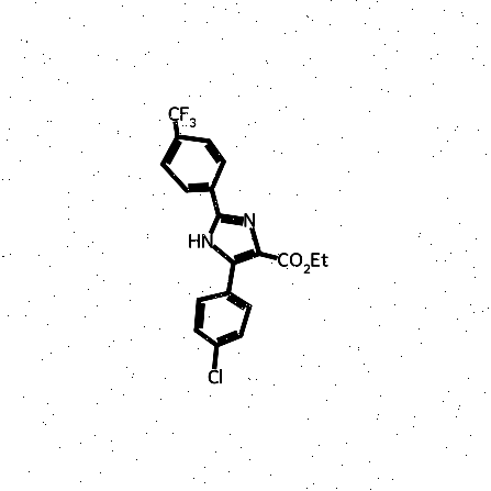 CCOC(=O)c1nc(-c2ccc(C(F)(F)F)cc2)[nH]c1-c1ccc(Cl)cc1